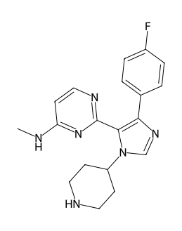 CNc1ccnc(-c2c(-c3ccc(F)cc3)ncn2C2CCNCC2)n1